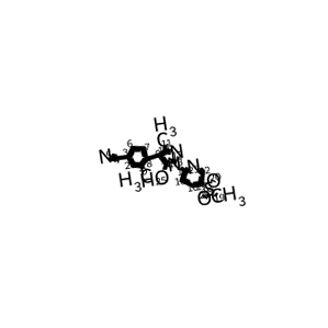 Cc1cc(C#N)ccc1-c1c(C)nn(-c2ccc(S(C)(=O)=O)cn2)c1O